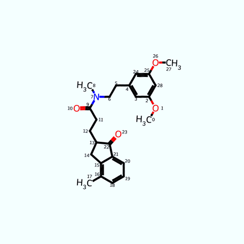 COc1cc(CCN(C)C(=O)CCC2Cc3c(C)cccc3C2=O)cc(OC)c1